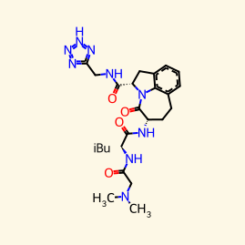 CC[C@H](C)[C@H](NC(=O)CN(C)C)C(=O)N[C@H]1CCc2cccc3c2N(C1=O)[C@H](C(=O)NCc1nn[nH]n1)C3